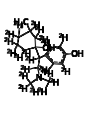 [2H]c1c([2H])c(C([2H])(C([2H])([2H])N(C([2H])([2H])[2H])C([2H])([2H])[2H])C2(O)C([2H])([2H])C([2H])([2H])C([2H])([2H])C([2H])(C)C2([2H])[2H])c([2H])c([2H])c1O